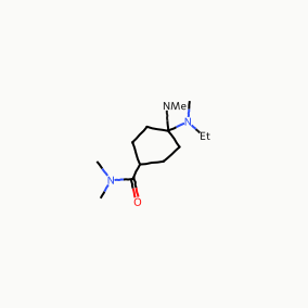 CCN(C)C1(NC)CCC(C(=O)N(C)C)CC1